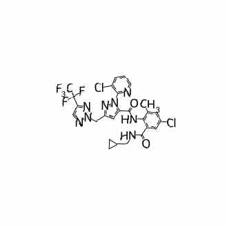 Cc1cc(Cl)cc(C(=O)NCC2CC2)c1NC(=O)c1cc(Cn2ncc(C(F)(F)C(F)(F)F)n2)nn1-c1ncccc1Cl